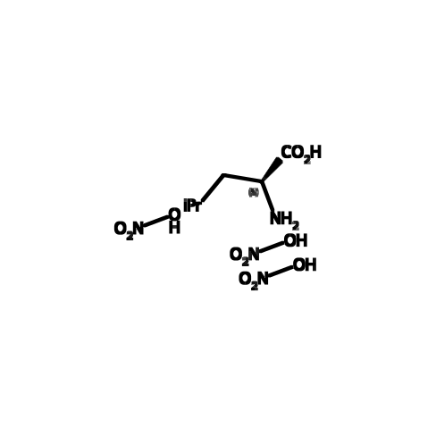 CC(C)C[C@H](N)C(=O)O.O=[N+]([O-])O.O=[N+]([O-])O.O=[N+]([O-])O